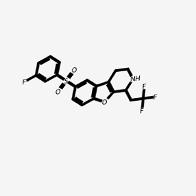 O=S(=O)(c1cccc(F)c1)c1ccc2oc3c(c2c1)CCNC3CC(F)(F)F